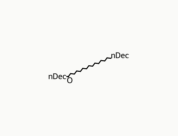 CCCCCCCCCCCCCCCCCCCCCCCCC(=O)CCCCCCCCCC